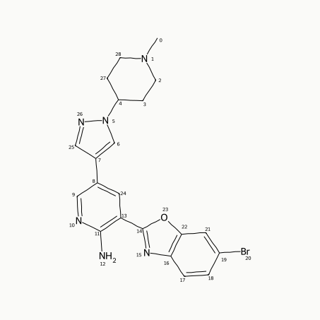 CN1CCC(n2cc(-c3cnc(N)c(-c4nc5ccc(Br)cc5o4)c3)cn2)CC1